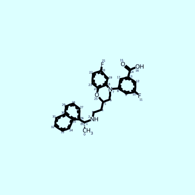 C[C@@H](NCCC1CN(c2cc(F)cc(C(=O)O)c2)c2cc(F)ccc2O1)c1cccc2ccccc12